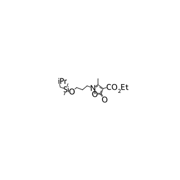 CCOC(=O)c1c(C)n(CCCO[Si](C)(C)CC(C)C)oc1=O